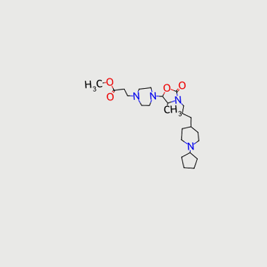 COC(=O)CCN1CCN(C2OC(=O)N(CCCC3CCN(C4CCCC4)CC3)C2C)CC1